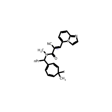 CCCC(C1=CC=CC(C)(I)C=C1)N(C)C(=O)/C(C#N)=C/c1cccc2nccn12